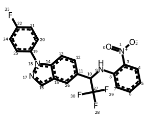 O=[N+]([O-])c1ccccc1NC(c1ccc2c(cnn2-c2ccc(F)cc2)c1)C(F)(F)F